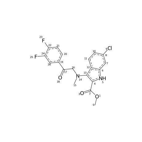 COC(=O)c1[nH]c2cc(Cl)ccc2c1N(C)CC(=O)c1ccc(F)c(F)c1